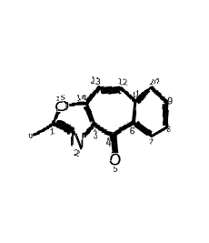 Cc1nc2c(=O)c3ccccc3ccc2o1